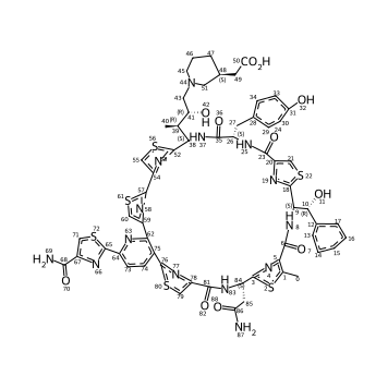 Cc1sc2nc1C(=O)N[C@@H]([C@H](O)c1ccccc1)c1nc(cs1)C(=O)N[C@@H](Cc1ccc(O)cc1)C(=O)N[C@@H]([C@@H](C)[C@@H](O)CN1CCC[C@@H](CC(=O)O)C1)c1nc(cs1)-c1nc(cs1)-c1nc(-c3nc(C(N)=O)cs3)ccc1-c1nc(cs1)C(=O)N[C@H]2CC(N)=O